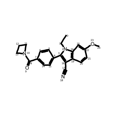 CCn1c(-c2ccc(C(=O)N3CCC3)cc2)c(C#N)c2ccc(OC)cc21